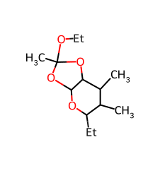 CCOC1(C)OC2OC(CC)C(C)C(C)C2O1